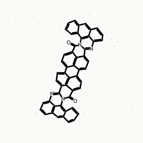 O=c1c2ccc3c4ccc5c6c(ccc(c7ccc(c2c37)c2nc3cccc7cc8ccccc8c(c73)n12)c46)c(=O)n1c5nc2cccc3cc4ccccc4c1c32